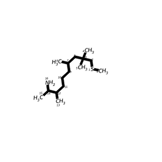 CSCC(C)(C)CC(C)CCCC(C)C(C)N